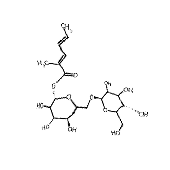 C/C=C/C=C(\C)C(=O)O[C@@H]1OC(CO[C@@H]2OC(CO)[C@@H](O)C(O)C2O)[C@@H](O)C(O)C1O